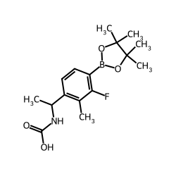 Cc1c(C(C)NC(=O)O)ccc(B2OC(C)(C)C(C)(C)O2)c1F